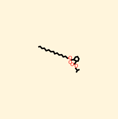 CCCCCCCCCCCCCCCOC(=O)C1CCCCC1C(=O)OCC(C)C